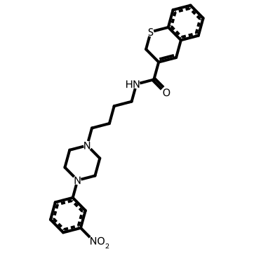 O=C(NCCCCN1CCN(c2cccc([N+](=O)[O-])c2)CC1)C1=Cc2ccccc2SC1